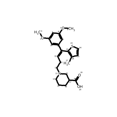 COc1cc(OC)cc(C(=CCCN2CCCC(C(=O)O)C2)c2sccc2C)c1